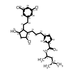 CC(CN(C)C)OC(=O)c1ccc(CCCC2C(Cl)CC(O)C2CCc2cc(Cl)cc(Cl)c2)s1